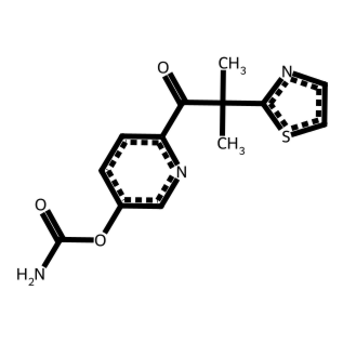 CC(C)(C(=O)c1ccc(OC(N)=O)cn1)c1nccs1